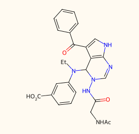 CCN(c1cccc(C(=O)O)c1)C1c2c(C(=O)c3ccccc3)c[nH]c2N=CN1NC(=O)CNC(C)=O